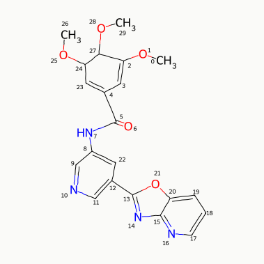 COC1=CC(C(=O)Nc2cncc(-c3nc4ncccc4o3)c2)=CC(OC)C1OC